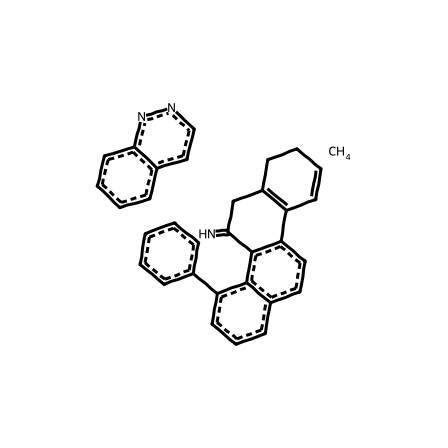 C.N=C1CC2=C(C=CCC2)c2ccc3cccc(-c4ccccc4)c3c21.c1ccc2nnccc2c1